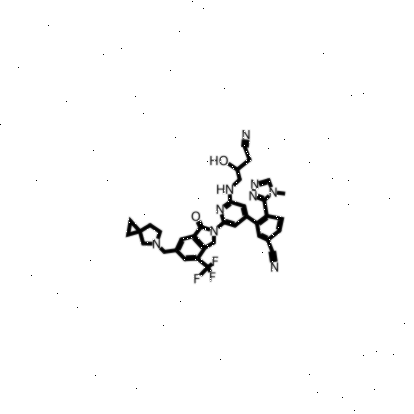 Cn1cnnc1-c1ccc(C#N)cc1-c1cc(NCC(O)CC#N)nc(N2Cc3c(cc(CN4CCC5(CC5)C4)cc3C(F)(F)F)C2=O)c1